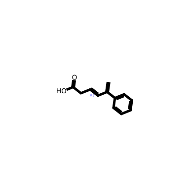 C=C(/C=C/CC(=O)O)c1ccccc1